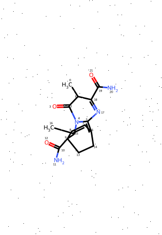 CC1C(=O)N2C(=C3C=CC(C(N)=O)(CC3)C2C)N=C1C(N)=O